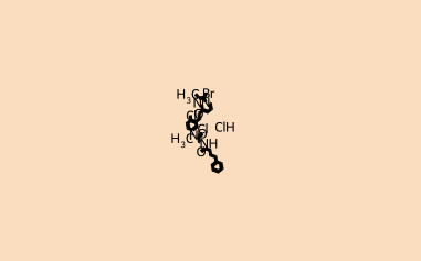 Cc1nc2c(OCc3c(Cl)ccc(N(C)C(=O)CNC(=O)CCCc4ccccc4)c3Cl)cccn2c1Br.Cl